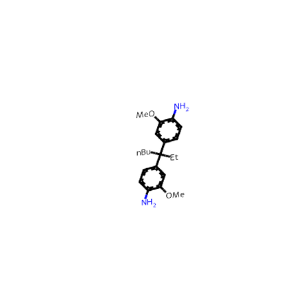 CCCCC(CC)(c1ccc(N)c(OC)c1)c1ccc(N)c(OC)c1